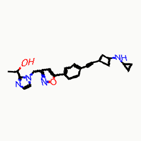 CC(O)c1nccn1Cc1cc(-c2ccc(C#CC3CC(NC4CC4)C3)cc2)on1